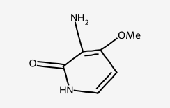 COc1cc[nH]c(=O)c1N